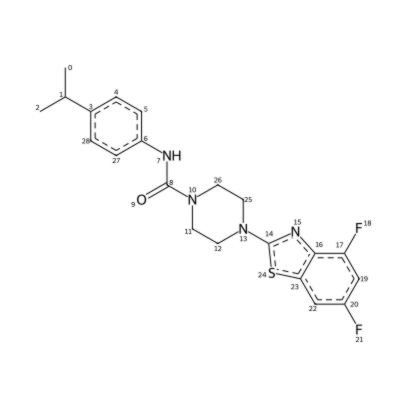 CC(C)c1ccc(NC(=O)N2CCN(c3nc4c(F)cc(F)cc4s3)CC2)cc1